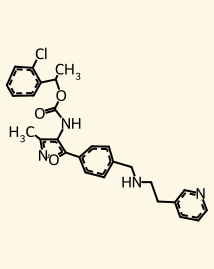 Cc1noc(-c2ccc(CNCCc3cccnc3)cc2)c1NC(=O)OC(C)c1ccccc1Cl